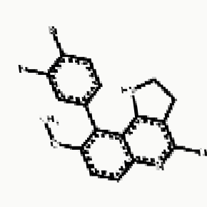 COc1ccc2nc(C)c3c(c2c1-c1ccc(Br)c(F)c1)NCC3